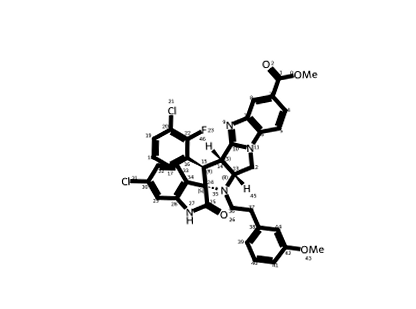 COC(=O)c1ccc2c(c1)nc1n2C[C@H]2[C@@H]1[C@H](c1cccc(Cl)c1F)[C@]1(C(=O)Nc3cc(Cl)ccc31)N2CCc1cccc(OC)c1